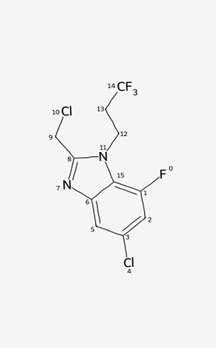 Fc1cc(Cl)cc2nc(CCl)n(CCC(F)(F)F)c12